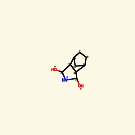 OC1NC(O)C2C3CCC(C3)C12